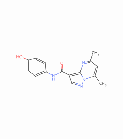 Cc1cc(C)n2ncc(C(=O)Nc3ccc(O)cc3)c2n1